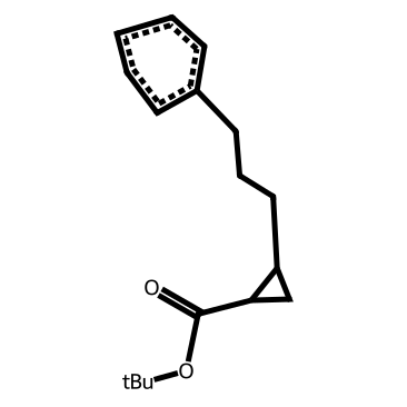 CC(C)(C)OC(=O)C1CC1CCCc1ccccc1